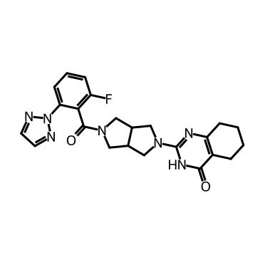 O=C(c1c(F)cccc1-n1nccn1)N1CC2CN(c3nc4c(c(=O)[nH]3)CCCC4)CC2C1